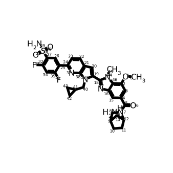 COc1cc(C(=O)N2CC3CCC2[C@@H]3N)cc2nc(-c3cc4ccc(-c5cc(S(N)(=O)=O)c(F)cc5F)nc4n3CC3CC3)n(C)c12